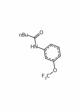 CCCCC(=O)Nc1cccc(OC(F)(F)F)c1